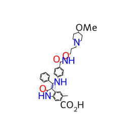 COC1CCN(CCCONC(=O)c2ccc(N/C(=C3/C(=O)Nc4cc(C(=O)O)c(C)cc43)c3ccccc3)cc2)CC1